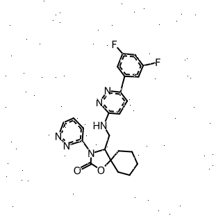 O=C1OC2(CCCCC2)C(CNc2ccc(-c3cc(F)cc(F)c3)nn2)N1c1cccnn1